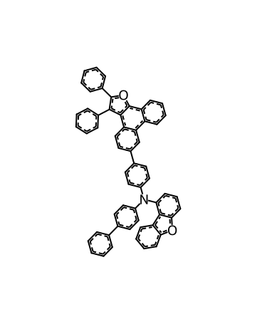 c1ccc(-c2ccc(N(c3ccc(-c4ccc5c(c4)c4ccccc4c4oc(-c6ccccc6)c(-c6ccccc6)c54)cc3)c3cccc4oc5ccccc5c34)cc2)cc1